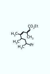 CCOC(=O)C=C(C)C=C(C)C(C)CC(C)C(C)C